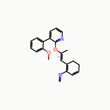 C=NC1=C(/C=C(\C)Oc2ncccc2-c2ccccc2OC)CCC=C1